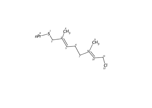 CCCSC/C(C)=C/CC/C(C)=C/CCl